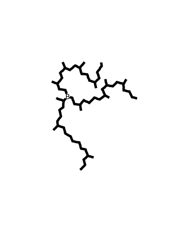 CCCCC(C)CCCC(C)CCC(C)CCC(C)CCB(CCC(C)CCCCC(C)CC(C)CCC(C)CCCC)C(C)CCCCC(C)CCCCCCCC(C)CCC